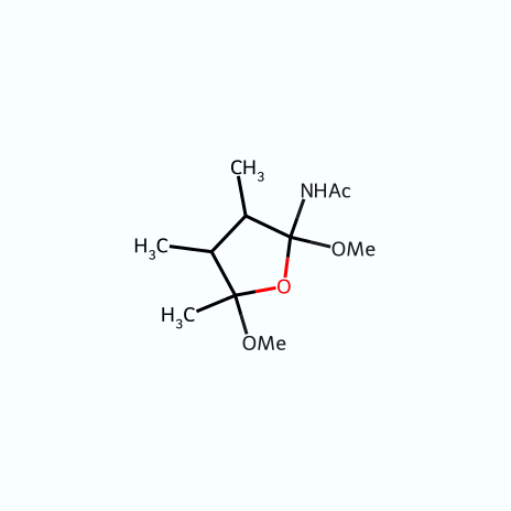 COC1(C)OC(NC(C)=O)(OC)C(C)C1C